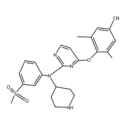 Cc1cc(C#N)cc(C)c1Oc1ccnc(N(c2cccc(S(C)(=O)=O)c2)C2CCNCC2)n1